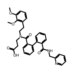 COc1cccc(CCN(CCC(=O)O)C(=O)c2ccccc2-c2ccccc2C(=O)NCc2ccccn2)c1OC